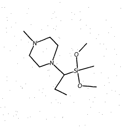 CCC(N1CCN(C)CC1)[Si](C)(OC)OC